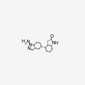 Nn1ncc2cc(-c3cccc4c3CC(=O)N4)ccc21